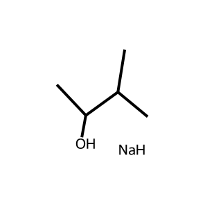 CC(C)C(C)O.[NaH]